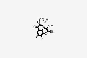 CCCC1=C(CC)Oc2c(F)c(F)cc3c(=O)c(OC(=O)O)cn1c23